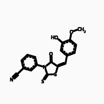 COc1ccc(C=C2SC(=S)N(c3cccc(C#N)c3)C2=O)cc1O